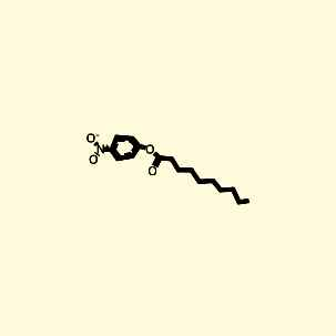 CCCCCCCCCC(=O)Oc1ccc([N+](=O)[O-])cc1